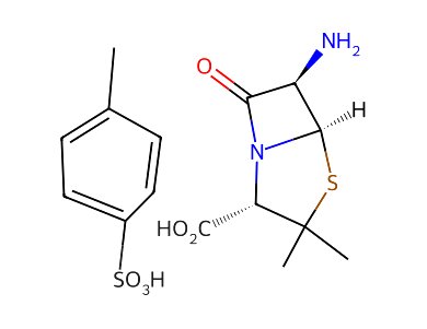 CC1(C)S[C@@H]2[C@H](N)C(=O)N2[C@H]1C(=O)O.Cc1ccc(S(=O)(=O)O)cc1